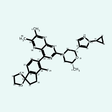 Cc1nc2nc(N3C[C@@H](C)O[C@@H](c4cnn(C5CC5)c4)C3)nc(-c3ccc4c(c3F)CCC43SCCS3)c2nc1C